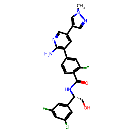 Cn1cc(-c2cnc(N)c(-c3ccc(C(=O)N[C@H](CO)c4cc(F)cc(Cl)c4)c(F)c3)c2)cn1